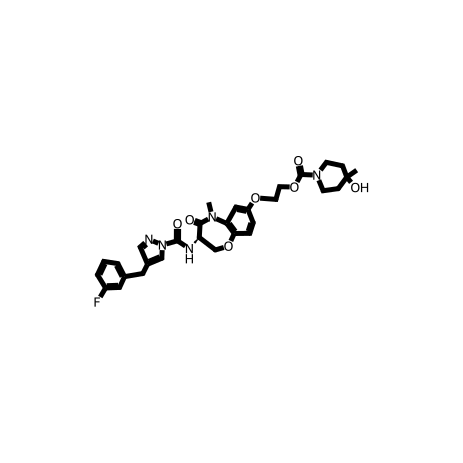 CN1C(=O)[C@@H](NC(=O)n2cc(Cc3cccc(F)c3)cn2)COc2ccc(OCCOC(=O)N3CCC(C)(O)CC3)cc21